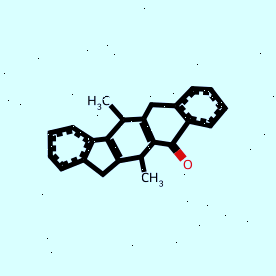 CC1C2=C(c3ccccc3C2)C(C)C2=C1C(=O)c1ccccc1C2